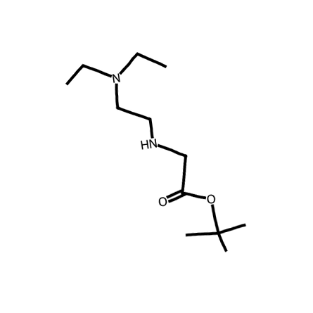 CCN(CC)CCNCC(=O)OC(C)(C)C